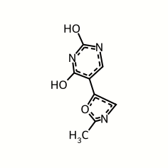 Cc1ncc(-c2cnc(O)nc2O)o1